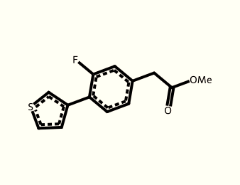 COC(=O)Cc1ccc(-c2ccsc2)c(F)c1